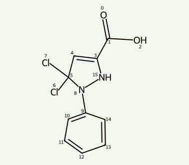 O=C(O)C1=CC(Cl)(Cl)N(c2ccccc2)N1